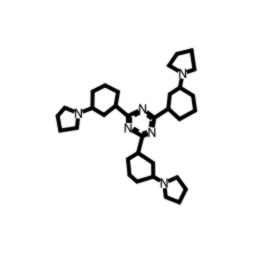 C1CC(c2nc(C3CCCC(N4CCCC4)C3)nc(C3CCCC(N4CCCC4)C3)n2)CC(N2CCCC2)C1